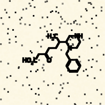 CC(CCC(=O)CC(=O)O)C1CNCCN1Cc1ccccc1